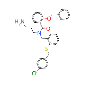 NCCCN(Cc1ccccc1SCc1ccc(Cl)cc1)C(=O)c1ccccc1OCc1ccccc1